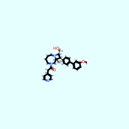 COc1cccc(-c2ccc([C@@H]3[C@@H](CO)N4CCCCN(C(=O)Cc5ccncc5)C[C@@H]34)cc2)c1